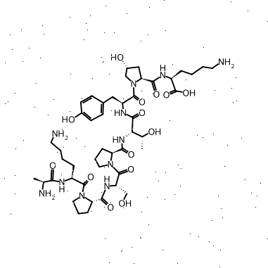 C[C@H](N)C(=O)N[C@@H](CCCCN)C(=O)N1CCC[C@H]1C(=O)N[C@@H](CO)C(=O)N1CCC[C@H]1C(=O)N[C@H](C(=O)N[C@@H](Cc1ccc(O)cc1)C(=O)N1C[C@H](O)C[C@H]1C(=O)N[C@@H](CCCCN)C(=O)O)[C@@H](C)O